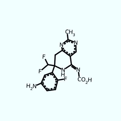 Cc1ncc2c(n1)CC(c1cc(N)ccc1F)(C(F)F)N/C2=N\C(=O)O